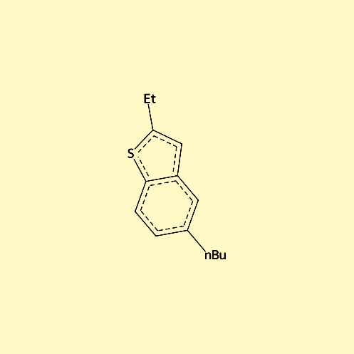 CCCCc1ccc2sc(CC)cc2c1